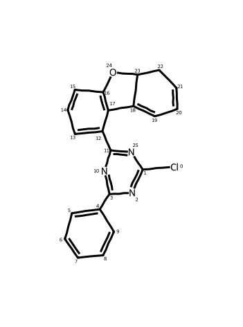 Clc1nc(-c2ccccc2)nc(-c2cccc3c2C2=CC=CCC2O3)n1